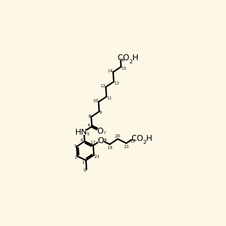 Cc1ccc(NC(=O)CCCCCCCCC(=O)O)c(OCCCC(=O)O)c1